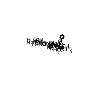 CC(C)(C)OC(=O)NC1CCC(Nc2ncnc3c2ncn3CC(NC(=O)OCc2ccccc2)C(=O)OC(C)(C)C)CC1